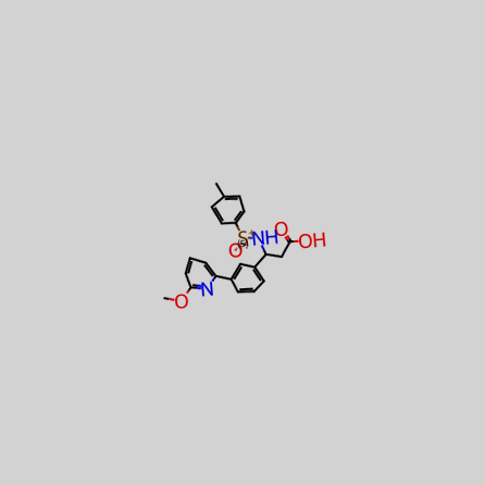 COc1cccc(-c2cccc(C(CC(=O)O)N[S@+]([O-])c3ccc(C)cc3)c2)n1